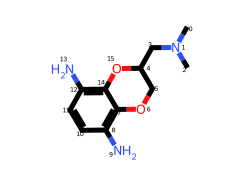 CN(C)CC1COc2c(N)ccc(N)c2O1